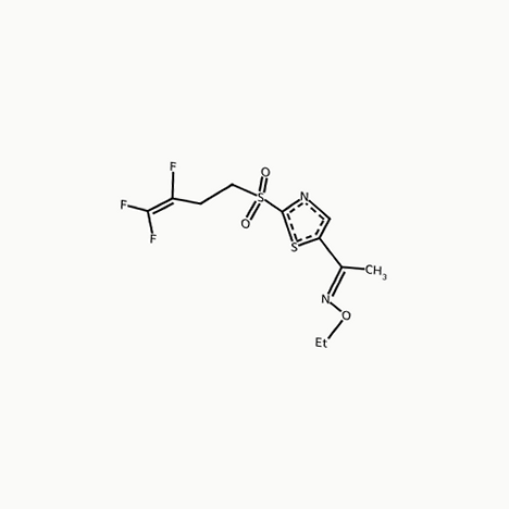 CCO/N=C(\C)c1cnc(S(=O)(=O)CCC(F)=C(F)F)s1